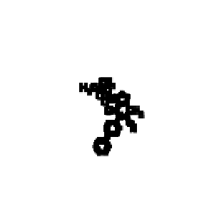 CC(C#N)N(C(=O)C1CCCN1C(=O)OC(C)(C)C)c1ccc(-c2ccccc2)cc1